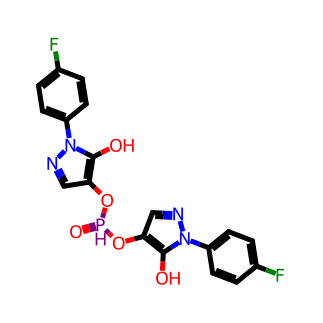 O=[PH](Oc1cnn(-c2ccc(F)cc2)c1O)Oc1cnn(-c2ccc(F)cc2)c1O